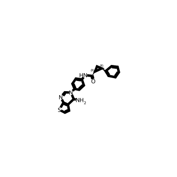 NC1c2ccsc2N=CN1c1ccc(NC(=O)[C@@H]2C[C@H]2c2ccccc2)cc1